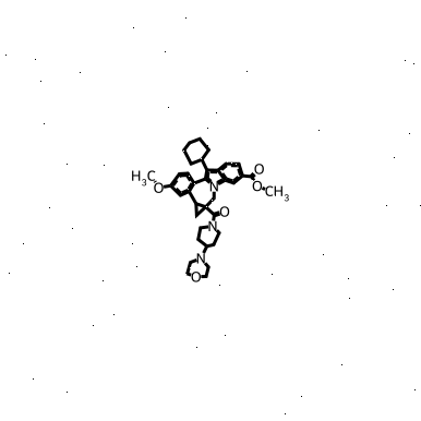 COC(=O)c1ccc2c(C3CCCCC3)c3n(c2c1)CC1(C(=O)N2CCC(N4CCOCC4)CC2)CC1c1cc(OC)ccc1-3